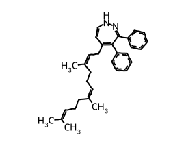 CC(C)=CCCC(C)=CCCC(C)=CCC1=C(c2ccccc2)C(c2ccccc2)=NNC=C1